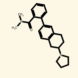 CN(C)C(=O)c1ccccc1-c1ccc2c(c1)CCC(N1CCCC1)C2